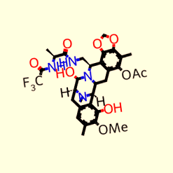 COc1c(C)cc2c(c1O)[C@@H]1C3Cc4c(OC(C)=O)c(C)c5c(c4[C@H](CNC(=O)[C@H](C)NC(=O)C(F)(F)F)N3C(O)[C@H](C2)N1C)OCO5